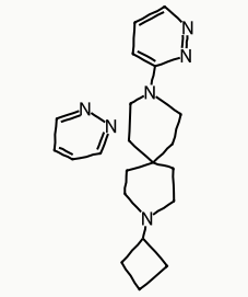 c1ccnnc1.c1cnnc(N2CCC3(CC2)CCN(C2CCC2)CC3)c1